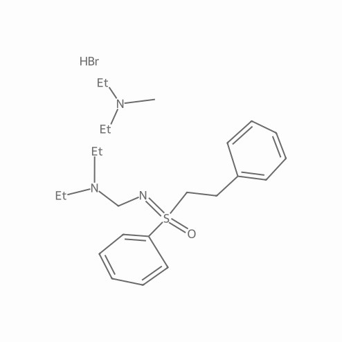 Br.CCN(C)CC.CCN(CC)CN=S(=O)(CCc1ccccc1)c1ccccc1